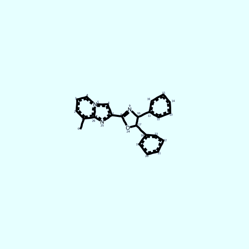 Cc1cccn2cc(C3=NC(c4ccccc4)C(c4ccccc4)O3)nc12